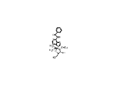 C[SiH](C)[C@@]1(n2cnc3c(NC(=O)c4ccccc4)ncnc32)O[C@H](CO)[C@@H](O)[C@H]1OC(C)(C)C